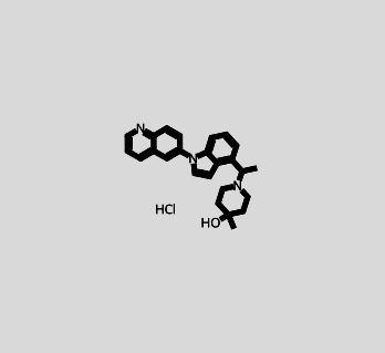 CC(c1cccc2c1ccn2-c1ccc2ncccc2c1)N1CCC(C)(O)CC1.Cl